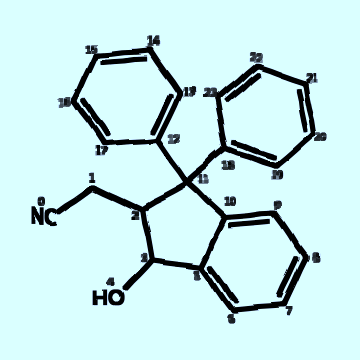 N#CCC1C(O)c2ccccc2C1(c1ccccc1)c1ccccc1